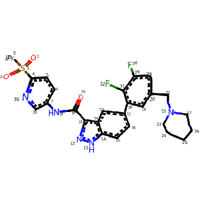 CC(C)S(=O)(=O)c1ccc(NC(=O)c2n[nH]c3ccc(-c4cc(CN5CCCCC5)cc(F)c4F)cc23)cn1